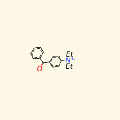 CC[N+](C)(CC)c1ccc(C(=O)c2ccccc2)cc1